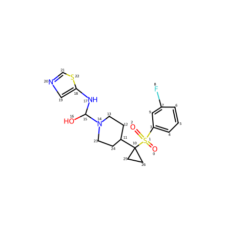 O=S(=O)(c1cccc(F)c1)C1(C2CCN(C(O)Nc3cncs3)CC2)CC1